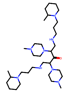 CC1CCCCN1CCCNCC(C(=O)C(CNCCCN1CCCCC1C)N1CCN(C)CC1)N1CCN(C)CC1